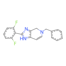 Fc1cccc(F)c1-c1nc2c([nH]1)C=CN(Cc1ccccc1)C2